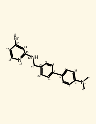 CN(C)c1ccc(-c2ccc(CNc3cc(Br)ccn3)cc2)cc1